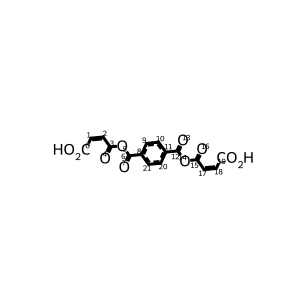 O=C(O)/C=C\C(=O)OC(=O)c1ccc(C(=O)OC(=O)/C=C\C(=O)O)cc1